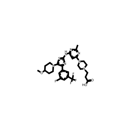 COC1CCN(c2sc(Nc3cc(N4CCN(CCC(=O)O)CC4)nc(C)n3)nc2-c2cc(F)cc(C(F)(F)F)c2)CC1